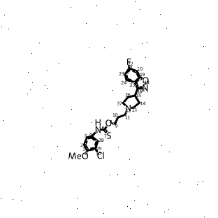 COc1ccc(NC(=S)OCCCN2CCC(c3noc4cc(F)ccc34)CC2)cc1Cl